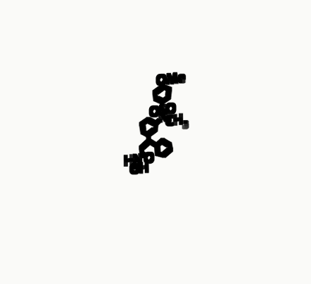 COc1ccc(S(=O)(=O)N(C)c2cccc(C(=CC(=O)NO)c3ccccc3)c2)cc1